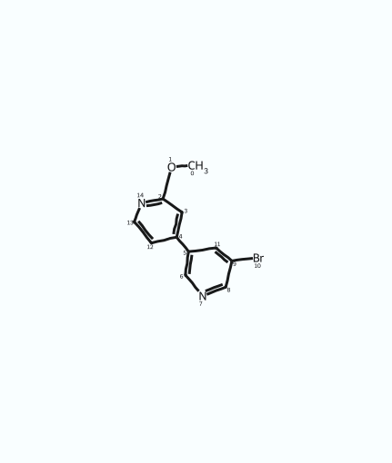 COc1cc(-c2cncc(Br)c2)ccn1